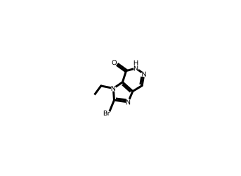 CCn1c(Br)nc2cn[nH]c(=O)c21